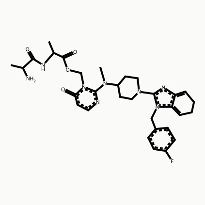 CC(N)C(=O)NC(C)C(=O)OCn1c(N(C)C2CCN(c3nc4c(n3Cc3ccc(F)cc3)=CCCC=4)CC2)nccc1=O